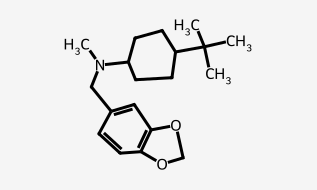 CN(Cc1ccc2c(c1)OCO2)C1CCC(C(C)(C)C)CC1